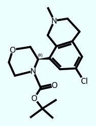 CN1CCc2cc(Cl)cc([C@@H]3COCCN3C(=O)OC(C)(C)C)c2C1